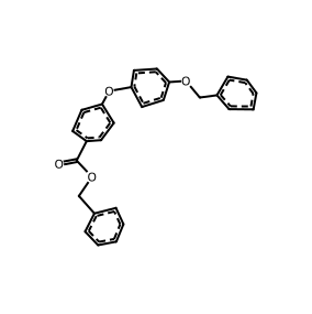 O=C(OCc1ccccc1)c1ccc(Oc2ccc(OCc3ccccc3)cc2)cc1